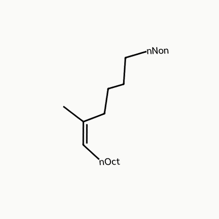 CCCCCCCCC=C(C)CCCCCCCCCCCCC